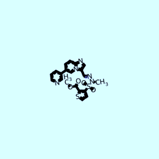 COC(=O)c1sccc1S(=O)(=O)N(C)/N=C/c1cnc2ccc(-c3cccnc3)cn12